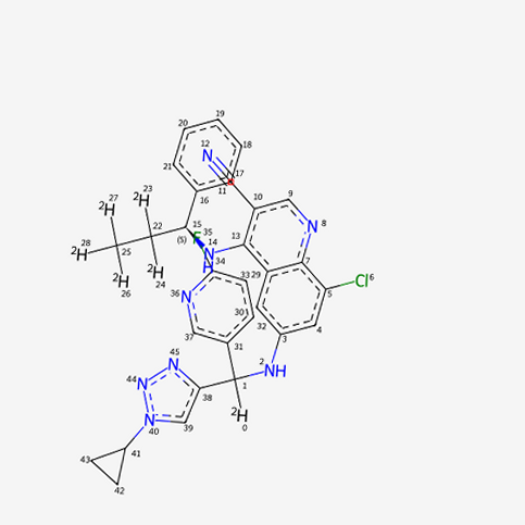 [2H]C(Nc1cc(Cl)c2ncc(C#N)c(N[C@H](c3ccccc3)C([2H])([2H])C([2H])([2H])[2H])c2c1)(c1ccc(F)nc1)c1cn(C2CC2)nn1